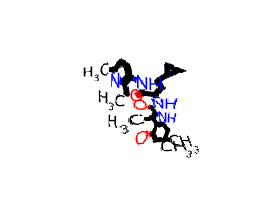 CCc1nc(C)ccc1NC(=O)C(CCC1CC1)NC(=O)c1[nH]c2c(c1C)C(=O)CC(C)(C)C2